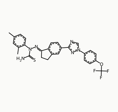 Cc1ccc(N(/N=C2\CCc3cc(-c4ncn(-c5ccc(OC(F)(F)F)cc5)n4)ccc32)C(N)=S)c(C)c1